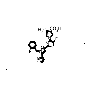 C[C@@H]1CN(c2nc(-c3cc(-c4ccon4)n(Cc4ccccc4F)n3)ncc2F)C[C@@H]1C(=O)O